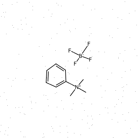 C[N+](C)(C)c1ccccc1.F[B-](F)(F)F